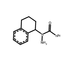 CCCC(=O)N(N)C1CCCc2ccccc21